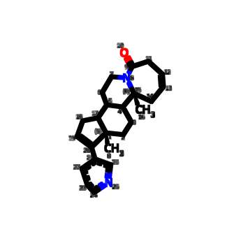 C[C@]12CCC3C(CCN4C(=O)CC=CC[C@]34C)C1CC=C2c1cccnc1